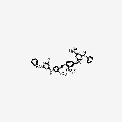 CCNc1nc(Nc2ccccc2)nc(Nc2ccc(/C=C/c3ccc(Nc4nc(Cl)nc(Nc5ccccc5)n4)cc3S(=O)(=O)O)c(S(=O)(=O)O)c2)n1